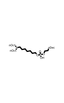 CCCCCCCCCCCCOP(=O)(O)OCCCCCCCN(CCCCCCCC)CCCCCCCC